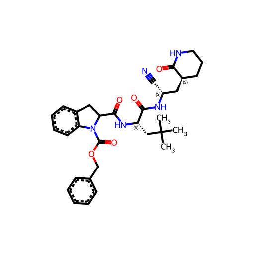 CC(C)(C)C[C@H](NC(=O)C1Cc2ccccc2N1C(=O)OCc1ccccc1)C(=O)N[C@H](C#N)C[C@@H]1CCCNC1=O